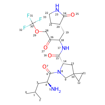 CC(C)C[C@H](N)C(=O)N1CC2(CC2)C[C@H]1C(=O)NC(C[C@@H]1CCNC1=O)C(=O)COC(F)(F)F